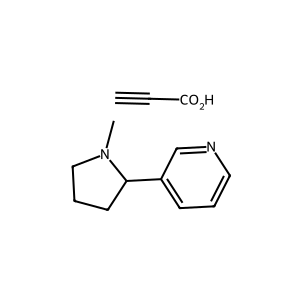 C#CC(=O)O.CN1CCCC1c1cccnc1